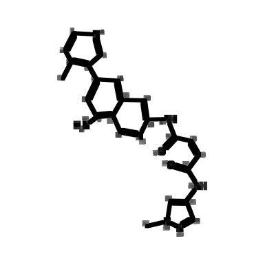 Cc1ccncc1-c1cc(N)c2cnc(NC(=O)/C=C\C(=O)Nc3cnn(C)c3)cc2c1